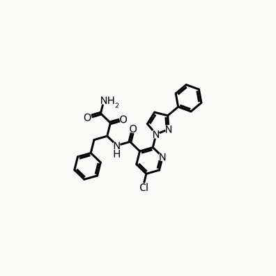 NC(=O)C(=O)C(Cc1ccccc1)NC(=O)c1cc(Cl)cnc1-n1ccc(-c2ccccc2)n1